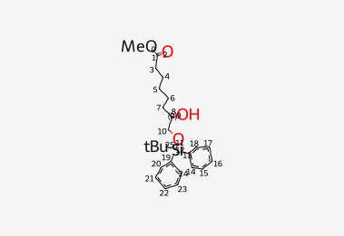 COC(=O)CCCCC[C@@H](O)CO[Si](c1ccccc1)(c1ccccc1)C(C)(C)C